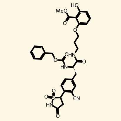 COC(=O)c1c(O)cccc1OCCCNC(=O)[C@H](Cc1ccc(C2CC(=O)NS2(=O)=O)c(C#N)c1)NC(=O)OCc1ccccc1